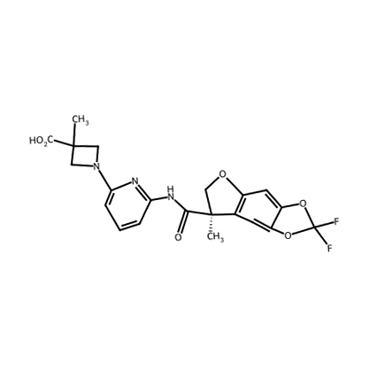 CC1(C(=O)O)CN(c2cccc(NC(=O)[C@@]3(C)COc4cc5c(cc43)OC(F)(F)O5)n2)C1